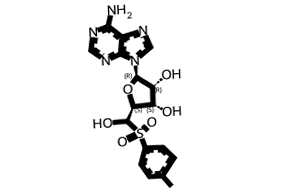 Cc1ccc(S(=O)(=O)C(O)[C@H]2O[C@@H](n3cnc4c(N)ncnc43)[C@H](O)[C@@H]2O)cc1